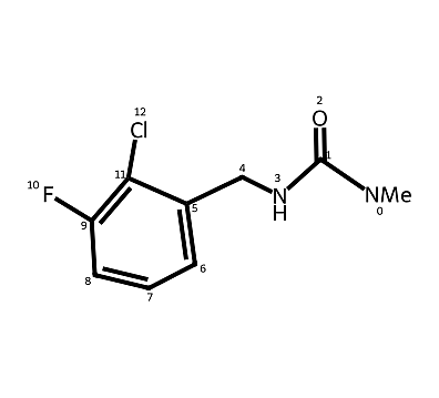 CNC(=O)NCc1cccc(F)c1Cl